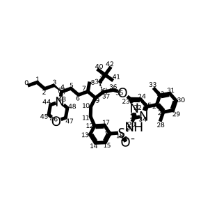 CCCC[C@@H](CCC(C)C1CCc2cccc(c2)[S+]([O-])Nc2nc(cc(-c3c(C)cccc3C)n2)OC[C@H]1CC(C)(C)C)N1CCOCC1